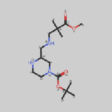 COC(=O)C(C)(C)CNCC1CN(C(=O)OC(C)(C)C)CCN1